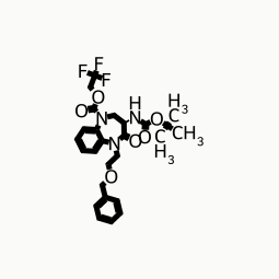 CC(C)(C)OC(=O)N[C@H]1CN(C(=O)OCC(F)(F)F)c2ccccc2N(CCOCc2ccccc2)C1=O